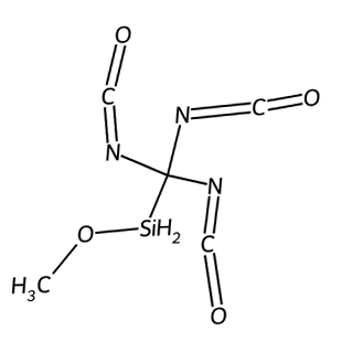 CO[SiH2]C(N=C=O)(N=C=O)N=C=O